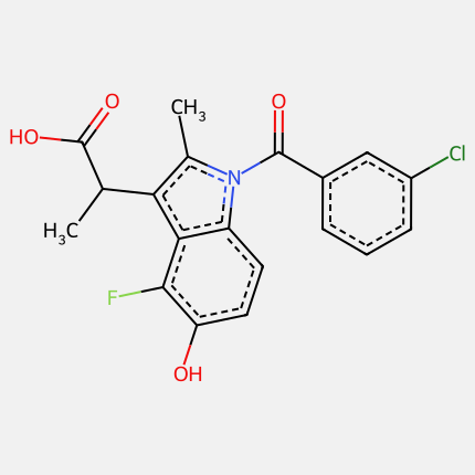 Cc1c(C(C)C(=O)O)c2c(F)c(O)ccc2n1C(=O)c1cccc(Cl)c1